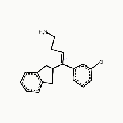 NCC/C=C(/c1cccc(Cl)c1)C1Cc2ccccc2C1